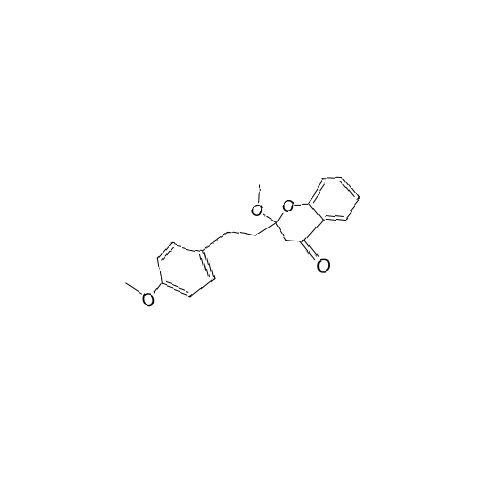 COc1ccc(CCC2(OC)CC(=O)c3ccccc3O2)cc1